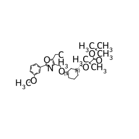 CCc1oc(-c2cccc(OC)c2)nc1CO[C@H]1CCC[C@@H](COC(C)(C)C(=O)OC(C)(C)C)C1